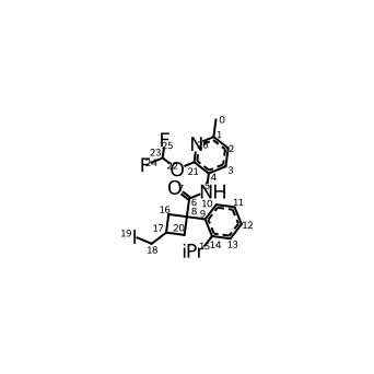 Cc1ccc(NC(=O)C2(c3ccccc3C(C)C)CC(CI)C2)c(OC(F)F)n1